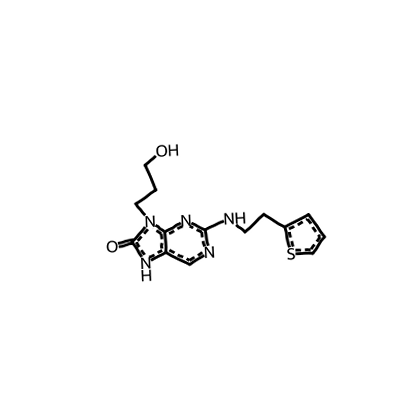 O=c1[nH]c2cnc(NCCc3cccs3)nc2n1CCCO